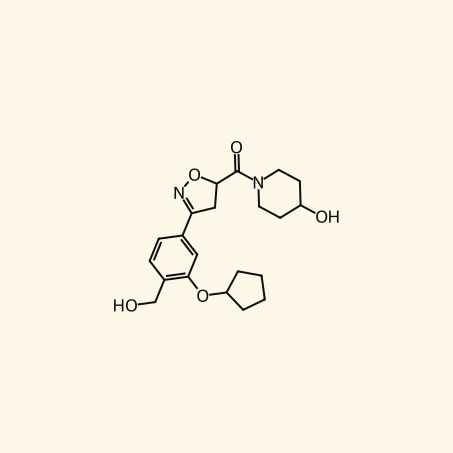 O=C(C1CC(c2ccc(CO)c(OC3CCCC3)c2)=NO1)N1CCC(O)CC1